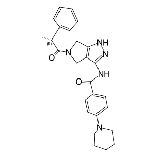 C[C@@H](C(=O)N1Cc2[nH]nc(NC(=O)c3ccc(N4CCCCC4)cc3)c2C1)c1ccccc1